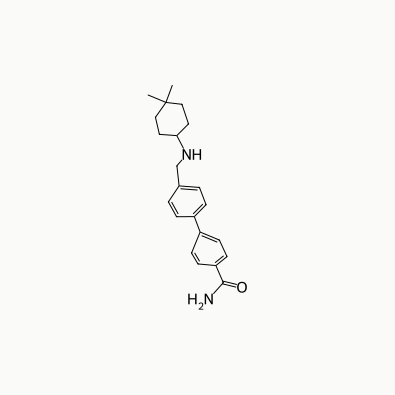 CC1(C)CCC(NCc2ccc(-c3ccc(C(N)=O)cc3)cc2)CC1